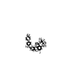 CCN1CCN(c2ccc(Nc3ncc(C(F)(F)F)c(Nc4cccc5c4C(=O)NC(C)(C)C(=O)N5)n3)cc2)CC1